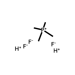 C[P+](C)(C)C.[F-].[F-].[F-].[H+].[H+]